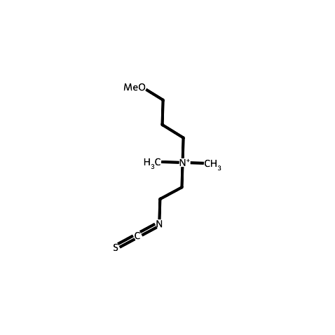 COCCC[N+](C)(C)CCN=C=S